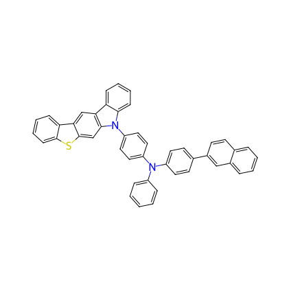 c1ccc(N(c2ccc(-c3ccc4ccccc4c3)cc2)c2ccc(-n3c4ccccc4c4cc5c(cc43)sc3ccccc35)cc2)cc1